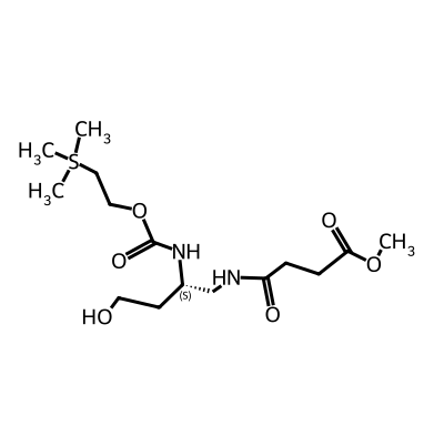 COC(=O)CCC(=O)NC[C@H](CCO)NC(=O)OCCS(C)(C)C